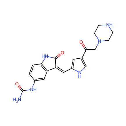 NC(=O)Nc1ccc2c(c1)C(=Cc1cc(C(=O)CN3CCNCC3)c[nH]1)C(=O)N2